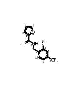 O=C(NCc1ncc(C(F)(F)F)cc1Cl)c1ccco1